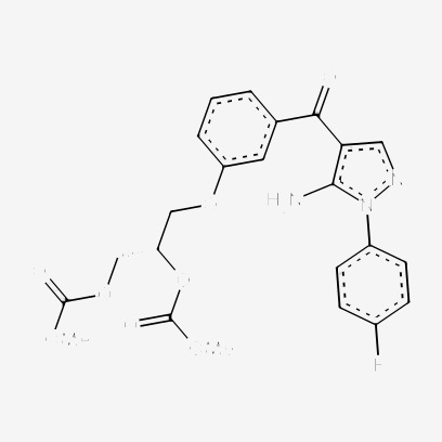 COC(=O)OC[C@H](COc1cccc(C(=O)c2cnn(-c3ccc(F)cc3)c2N)c1)OC(=O)OC